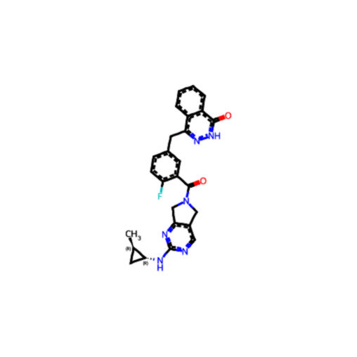 C[C@@H]1C[C@H]1Nc1ncc2c(n1)CN(C(=O)c1cc(Cc3n[nH]c(=O)c4ccccc34)ccc1F)C2